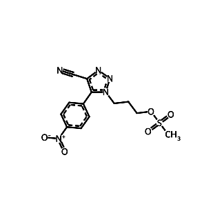 CS(=O)(=O)OCCCn1nnc(C#N)c1-c1ccc([N+](=O)[O-])cc1